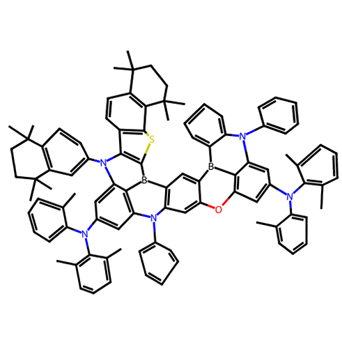 Cc1ccccc1N(c1cc2c3c(c1)N(c1ccccc1)c1ccccc1B3c1cc3c(cc1O2)N(c1ccccc1)c1cc(N(c2ccccc2C)c2c(C)cccc2C)cc2c1B3c1sc3c4c(ccc3c1N2c1ccc2c(c1)C(C)(C)CCC2(C)C)C(C)(C)CCC4(C)C)c1c(C)cccc1C